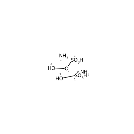 N.N.O=S(=O)(O)O.O=S(=O)(O)OO